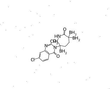 BC1(B)CCC(B)(n2c(C)nc3cc(Cl)ccc3c2=O)C(=O)NC1=O